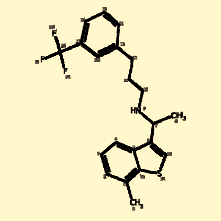 Cc1cccc2c(C(C)NCCCc3cccc(C(F)(F)F)c3)csc12